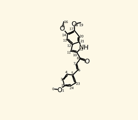 COc1ccc(/C=C/C(=O)c2cc3cc(OC)c(OC)cc3[nH]2)cc1